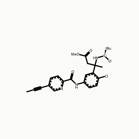 CC#Cc1ccc(C(=O)Nc2ccc(Cl)c(C(C)(CC(=O)OC)N[S@+]([O-])C(C)(C)C)c2)nc1